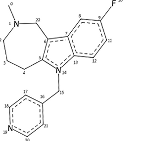 CN1CCCc2c(c3cc(F)ccc3n2Cc2ccncc2)C1